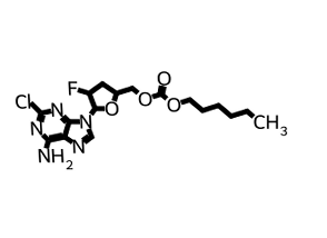 CCCCCCOC(=O)OCC1CC(F)C(n2cnc3c(N)nc(Cl)nc32)O1